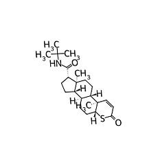 CC(C)(C)NC(=O)[C@H]1CC[C@H]2[C@@H]3CC[C@H]4SC(=O)C=C[C@]4(C)[C@H]3CC[C@]12C